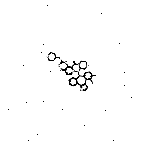 O=C(Oc1c2n(ccc1=O)N(C1c3ccccc3-c3occc3-c3c1ccc(F)c3F)C1COCCN1C2=O)OC1CCOCC1